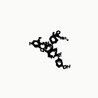 CC1(C(N)=O)CCC(n2c(Nc3c(F)cc(F)cc3Cl)nc3cnc(N[C@H]4CCC[C@@H](O)C4)nc32)CC1